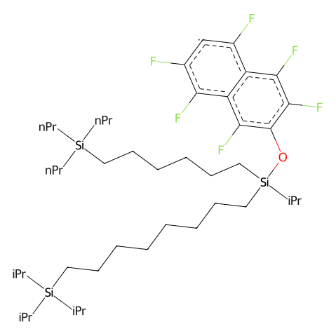 CCC[Si](CCC)(CCC)CCCCCC[Si](CCCCCCCC[Si](C(C)C)(C(C)C)C(C)C)(Oc1c(F)c(F)c2c(F)[c]c(F)c(F)c2c1F)C(C)C